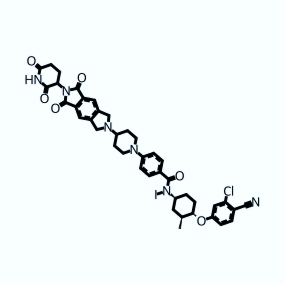 C[C@H]1C[C@@H](N(I)C(=O)c2ccc(N3CCC(N4Cc5cc6c(cc5C4)C(=O)N(C4CCC(=O)NC4=O)C6=O)CC3)cc2)CC[C@@H]1Oc1ccc(C#N)c(Cl)c1